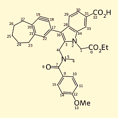 CCOC(=O)Cn1c(CN(C)C(=O)c2ccc(OC)cc2)c(-c2c#cc3c(c2)CCCCC3)c2ccc(C(=O)O)cc21